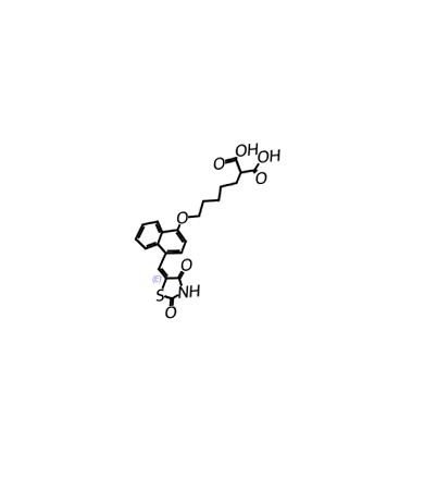 O=C1NC(=O)/C(=C\c2ccc(OCCCCCC(C(=O)O)C(=O)O)c3ccccc23)S1